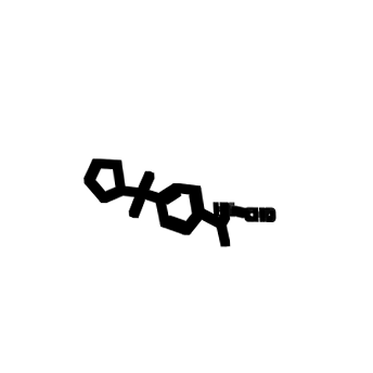 CC(NC=O)c1ccc(C(C)(C)C2CCCC2)cc1